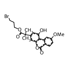 COc1ccc2c(=O)oc3cc(C(C)(C)C(=O)OCCCBr)cc(O)c3c2c1